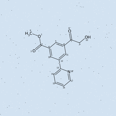 COC(=O)c1cc(C(=O)CO)cc(-c2ccccn2)c1